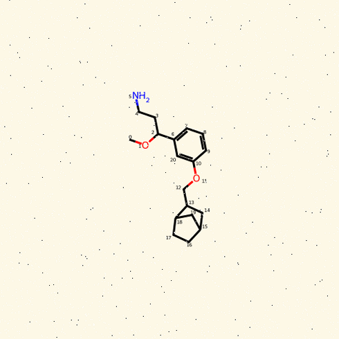 COC(CCN)c1cccc(OCC2CC3CCC2C3)c1